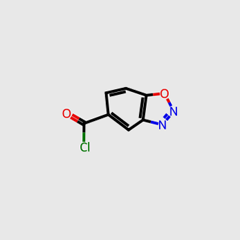 O=C(Cl)c1ccc2onnc2c1